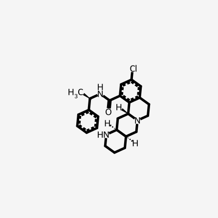 C[C@@H](NC(=O)c1cc(Cl)cc2c1[C@H]1C[C@@H]3NCCC[C@@H]3CN1CC2)c1ccccc1